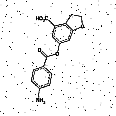 Nc1ccc(C(=O)Oc2cc3c(c(C(=O)O)c2)CCO3)cc1